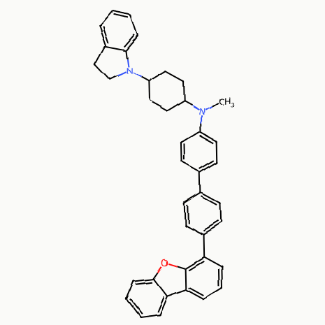 CN(c1ccc(-c2ccc(-c3cccc4c3oc3ccccc34)cc2)cc1)C1CCC(N2CCc3ccccc32)CC1